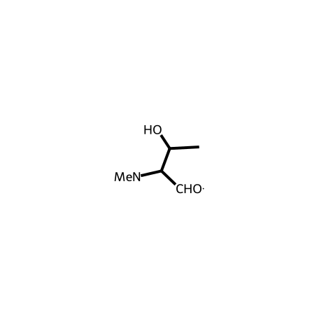 CNC([C]=O)C(C)O